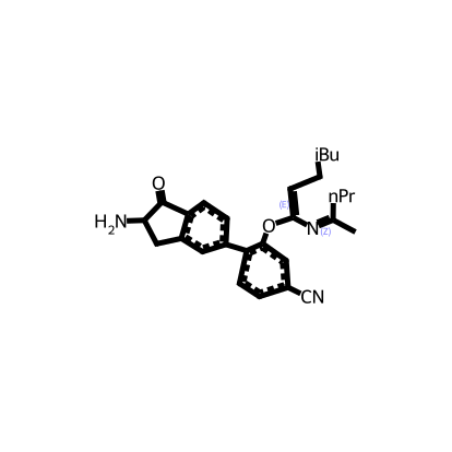 CCC/C(C)=N\C(=C/CC(C)CC)Oc1cc(C#N)ccc1-c1ccc2c(c1)CC(N)C2=O